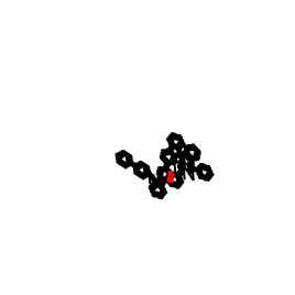 c1ccc(-c2ccc(-n3c4ccccc4c4ccc(-c5ccc6c(c5)C(c5ccccc5)(c5nc(-c7ccccc7)nc(-c7ccccc7)n5)c5ccccc5-6)cc43)cc2)cc1